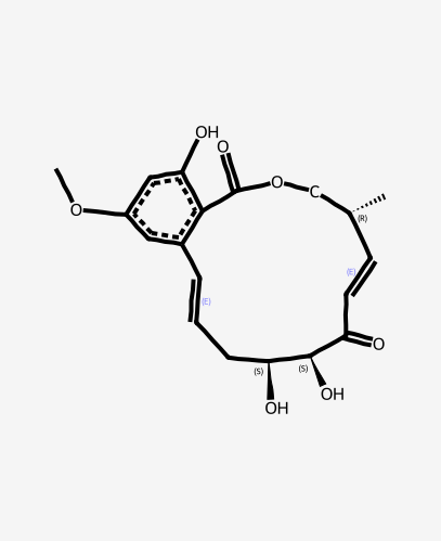 COc1cc(O)c2c(c1)/C=C/C[C@H](O)[C@H](O)C(=O)/C=C/[C@@H](C)COC2=O